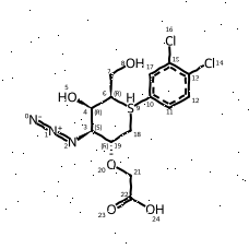 [N-]=[N+]=N[C@H]1[C@@H](O)[C@@H](CO)[SH](c2ccc(Cl)c(Cl)c2)C[C@@H]1OCC(=O)O